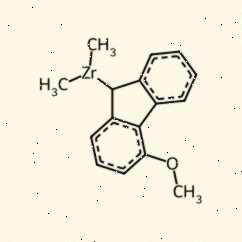 COc1cccc2c1-c1ccccc1[CH]2[Zr]([CH3])[CH3]